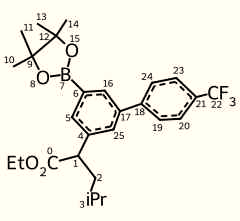 CCOC(=O)C(CC(C)C)c1cc(B2OC(C)(C)C(C)(C)O2)cc(-c2ccc(C(F)(F)F)cc2)c1